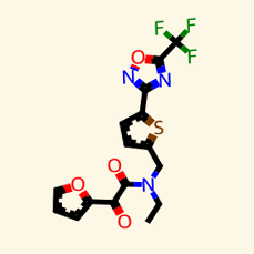 CCN(Cc1ccc(-c2noc(C(F)(F)F)n2)s1)C(=O)C(=O)c1ccco1